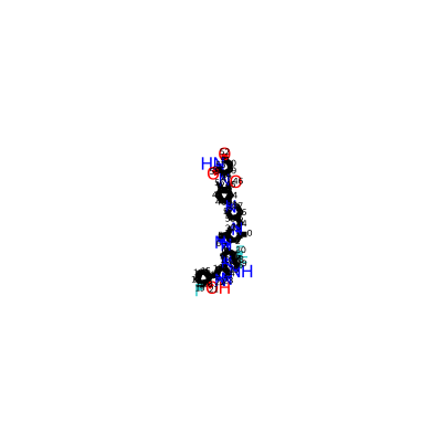 CC1Cc2c(cnn2[C@H]2CN3c4cc(-c5cccc(F)c5O)nnc4NC[C@@]3(C(F)F)C2)CN1CC1CCN(c2ccc3c(c2)C(=O)N([C@H]2CCC(=O)NC2=O)C3)CC1